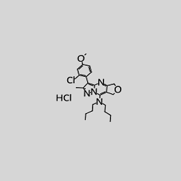 CCCCN(CCCC)c1c2c(nc3c(-c4ccc(OC)cc4Cl)c(C)nn13)COC2.Cl